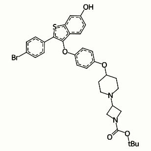 CC(C)(C)OC(=O)N1CC(N2CCC(Oc3ccc(Oc4c(-c5ccc(Br)cc5)sc5cc(O)ccc45)cc3)CC2)C1